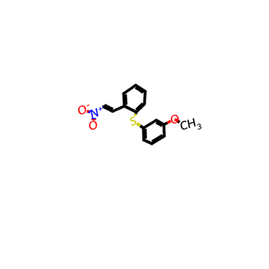 COc1cccc(Sc2ccccc2C=C[N+](=O)[O-])c1